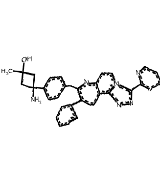 CC1(O)CC(N)(c2ccc(-c3nc4ccn5c(-c6ncccn6)nnc5c4cc3-c3ccccc3)cc2)C1